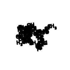 CCOC(=O)COC(=O)c1cc(Oc2ccc(C(F)(F)F)cc2Cl)ccc1[N+](=O)[O-].COc1nc(C)nc(NC(=O)NS(=O)(=O)c2ccccc2C(=O)O)n1.O=C(O)COc1ccc(Cl)c2cccnc12